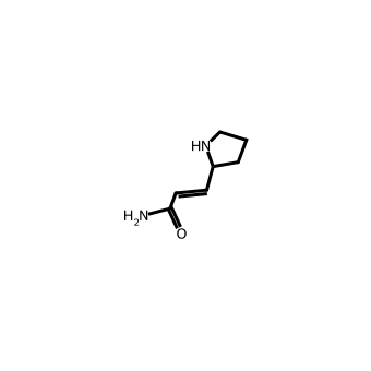 NC(=O)C=CC1CCCN1